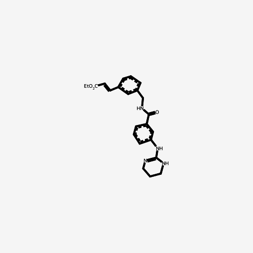 CCOC(=O)/C=C/c1cccc(CNC(=O)c2cccc(NC3=NCCCN3)c2)c1